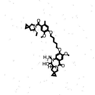 CC[C@@H]1CC2(CC2)CN1C(=O)c1cc(OC)c(OCCCCCOc2cc3c(cc2OC)C(=O)N2CC4(CC4)C[C@H]2C(O)N3N)cc1C